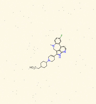 CN1Cc2c(C3=CCN(C4CCC(CC(=O)O)CC4)CC3)[nH]c3nccc(c23)-c2cc(F)ccc21